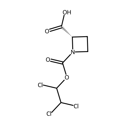 O=C(O)[C@@H]1CCN1C(=O)OC(Cl)C(Cl)Cl